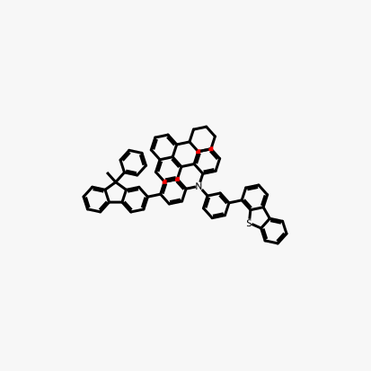 CC1(c2ccccc2)c2ccccc2-c2ccc(-c3ccc(N(c4cccc(-c5cccc6c5sc5ccccc56)c4)c4ccccc4-c4cccc5cccc(C6CCCCC6)c45)cc3)cc21